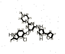 Cc1cc2c(Cl)c(Oc3cc(Nc4cc(-c5ccco5)[nH]n4)nc(N4CCN(C)CC4)n3)ccc2[nH]1